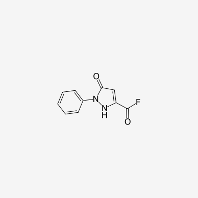 O=C(F)c1cc(=O)n(-c2ccccc2)[nH]1